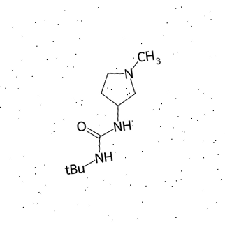 CN1CCC(NC(=O)NC(C)(C)C)C1